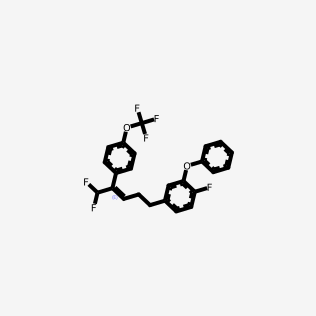 Fc1ccc(CC/C=C(\c2ccc(OC(F)(F)F)cc2)C(F)F)cc1Oc1ccccc1